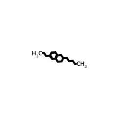 CCCCCC1CCc2cc(CCC)ccc2C1